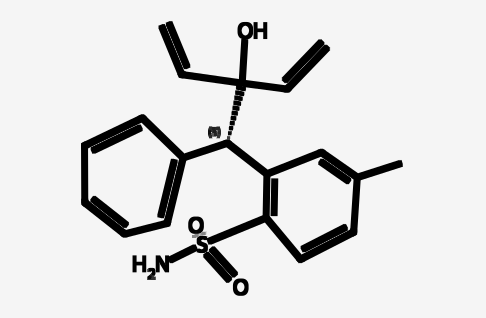 C=CC(O)(C=C)[C@@H](c1ccccc1)c1cc(C)ccc1S(N)(=O)=O